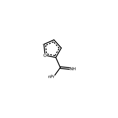 CCCC(=N)c1cc[c]o1